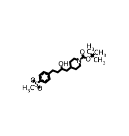 CC(C)(C)OC(=O)N1CCC(CC(O)CCc2ccc(S(C)(=O)=O)cc2)CC1